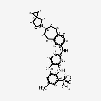 Cc1ccc(Nc2nc(Nc3ccc4c(c3)CC[C@H](N3CCC5(CC5)C3)CC4)ncc2Cl)c(P(C)(C)=O)c1